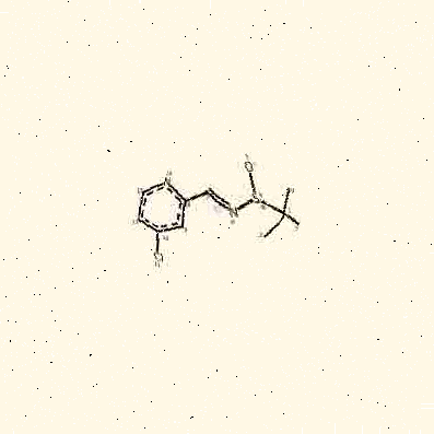 CC(C)(C)[S+]([O-])/N=C/c1cc(Cl)ccn1